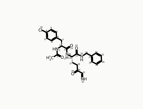 CC(=O)N[C@@H](Cc1ccc(Cl)cc1)C(=O)N[C@@H](CCC(=O)C=N)C(=O)NCc1ccccc1